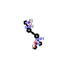 CCC(=O)N1CCCC1c1nc2ccc(C#Cc3ccc4[nH]c([C@@H]5CCCN5C(=O)[C@H]5CCCO5)nc4c3)cc2[nH]1